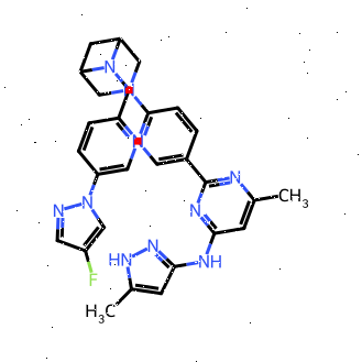 Cc1cc(Nc2cc(C)[nH]n2)nc(-c2ccc(N3CC4CC(C3)N4Cc3ccc(-n4cc(F)cn4)cn3)nc2)n1